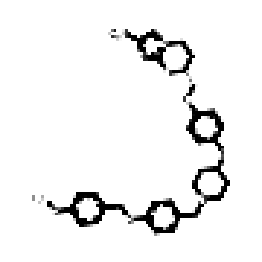 O=[N+]([O-])c1cn2c(n1)O[C@@H](COc1ccc(OC3CCN(Cc4ccc(OCc5ccc(OC(F)(F)F)cc5)cc4)CC3)cc1)CC2